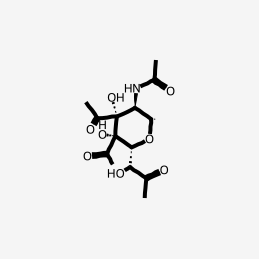 CC(=O)N[C@H]1[CH]O[C@H](C(O)C(C)=O)[C@@](O)(C(C)=O)[C@@]1(O)C(C)=O